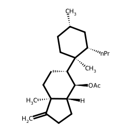 C=C1CC[C@H]2[C@H](OC(C)=O)[C@@H]([C@@]3(C)CC[C@H](C)C[C@@H]3CCC)CC[C@]12C